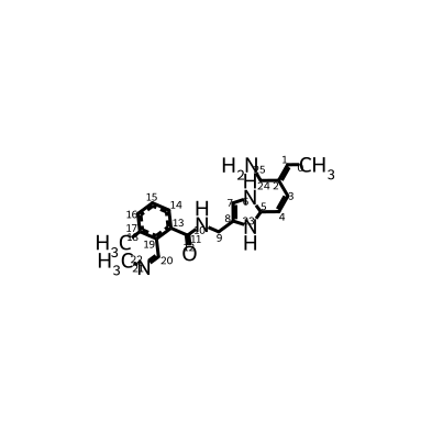 C/C=C(\C=C/C1NC=C(CNC(=O)c2cccc(C)c2/C=N\C)N1)CN